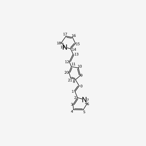 C(=Cc1ccccn1)c1ccc(C=Cc2ccccn2)cc1